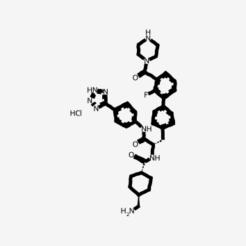 Cl.NC[C@H]1CC[C@H](C(=O)N[C@@H](Cc2ccc(-c3cccc(C(=O)N4CCNCC4)c3F)cc2)C(=O)Nc2ccc(-c3nn[nH]n3)cc2)CC1